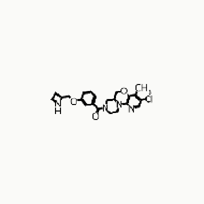 Cc1c(Cl)cnc2c1OCC1CN(C(=O)c3cccc(OCC4CCN4)c3)CCN21